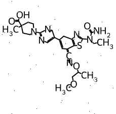 CCN(C(N)=O)c1nc2c(s1)C(=C=NOC(C)COC)C=C(c1cnc(N3CCC(C)(C(=O)O)CC3)nc1)C2